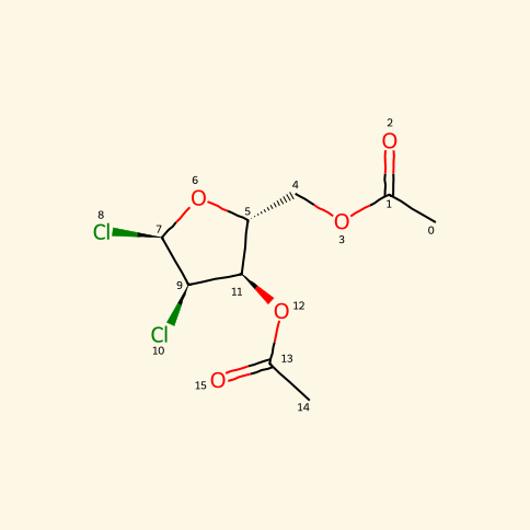 CC(=O)OC[C@H]1O[C@H](Cl)[C@H](Cl)[C@@H]1OC(C)=O